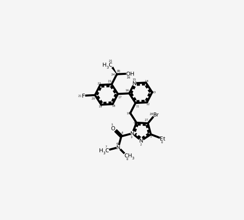 CCc1nn(C(=O)N(C)C)c(Cc2cccnc2-c2ccc(F)cc2[C@@H](C)O)c1Br